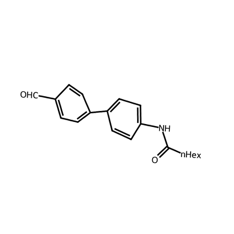 CCCCCCC(=O)Nc1ccc(-c2ccc(C=O)cc2)cc1